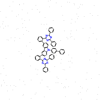 c1ccc(-c2ccc(-n3c4ccc(-c5ccccc5-c5nc(-c6ccccc6)nc(-c6ccccc6)n5)cc4c4cc(-c5ccccc5-c5nc(-c6ccccc6)nc(-c6ccccc6)n5)ccc43)cc2)cc1